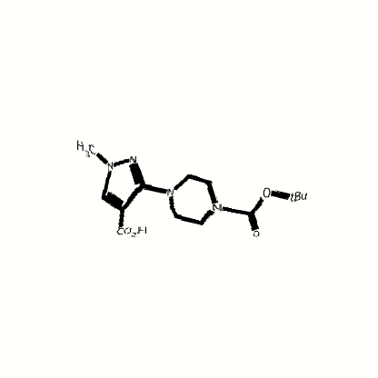 Cn1cc(C(=O)O)c(N2CCN(C(=O)OC(C)(C)C)CC2)n1